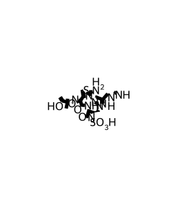 C=C(O)C(C)(C)O/N=C(\C(=O)N[C@@H]1C(=O)N(S(=O)(=O)O)[C@@H]1Cn1ncc(CNC=N)n1)c1csc(N)n1